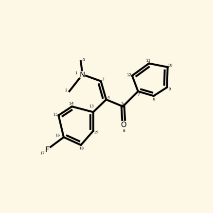 CN(C)C=C(C(=O)c1ccccc1)c1ccc(F)cc1